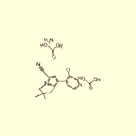 CC1(C)Cc2c(-c3ccncc3Cl)cc(C#N)n2C1.N.O=C(O)O.O=C(O)O